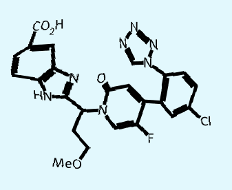 COCCC(c1nc2cc(C(=O)O)ccc2[nH]1)n1cc(F)c(-c2cc(Cl)ccc2-n2cnnn2)cc1=O